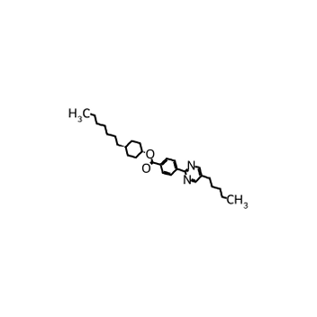 CCCCCCC[C@H]1CC[C@H](OC(=O)c2ccc(-c3ncc(CCCCC)cn3)cc2)CC1